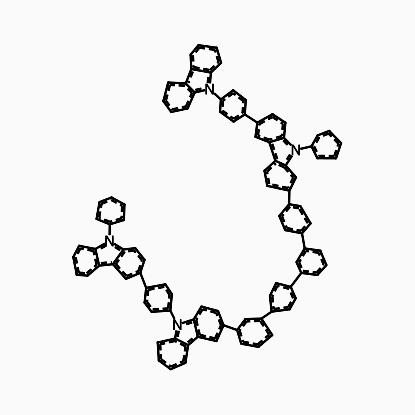 c1ccc(-n2c3ccccc3c3cc(-c4ccc(-n5c6ccccc6c6cc(-c7cccc(-c8ccc(-c9cccc(-c%10ccc(-c%11ccc%12c%13cc(-c%14ccc(-n%15c%16ccccc%16c%16ccccc%16%15)cc%14)ccc%13n(-c%13ccccc%13)c%12c%11)cc%10)c9)cc8)c7)ccc65)cc4)ccc32)cc1